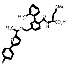 CSCCC(NC(=O)c1ccc(COC(C)c2ccc(-c3ccc(F)cc3)o2)cc1-c1ccccc1C)C(=O)O